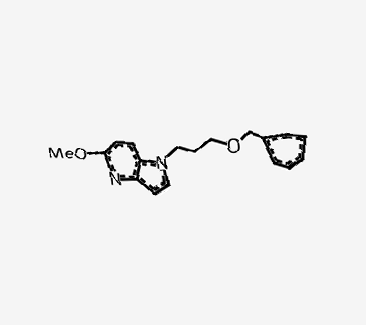 COc1ccc2c(ccn2CCCOCc2ccccc2)n1